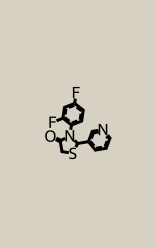 O=C1CSC(c2cccnc2)N1c1ccc(F)cc1F